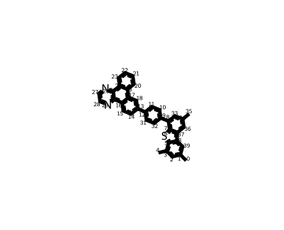 Cc1cc(C)c2sc3c(-c4ccc(-c5ccc6c(c5)c5ccccc5c5nccnc65)cc4)cc(C)cc3c2c1